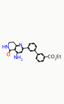 CCOC(=O)c1cccc(-c2cccc(-c3cc(N)c4c(n3)CCNC4=O)c2)c1